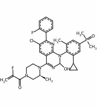 C=C(F)C(=O)N1CCN(C2=NC(O)N(c3c(C)cc(P(C)(C)=O)cc3C3CC3)c3nc(-c4ccccc4F)c(Cl)cc32)[C@@H](C)C1